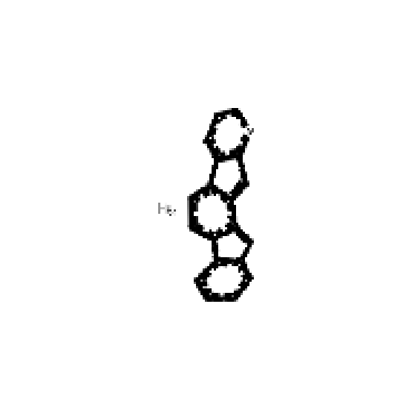 Br.C1=c2c(ccc3c2=Cc2ncccc2-3)-c2ccccc21